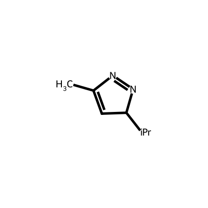 CC1=CC(C(C)C)N=N1